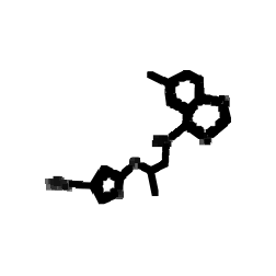 CCCCc1csc(OC(C)CNc2ncnc3ccc(C)cc23)c1